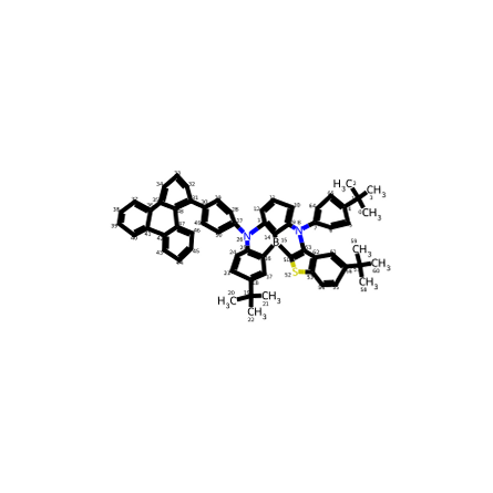 CC(C)(C)c1ccc(N2c3cccc4c3B(c3cc(C(C)(C)C)ccc3N4c3ccc(-c4cccc5c6ccccc6c6ccccc6c45)cc3)c3sc4ccc(C(C)(C)C)cc4c32)cc1